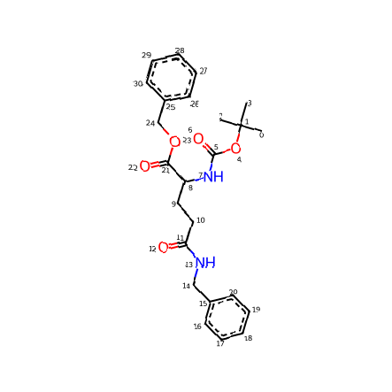 CC(C)(C)OC(=O)NC(CCC(=O)NCc1ccccc1)C(=O)OCc1ccccc1